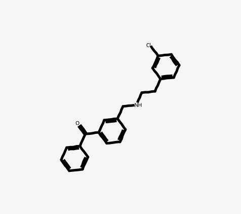 O=C(c1ccccc1)c1cccc(CNCCc2cccc(Cl)c2)c1